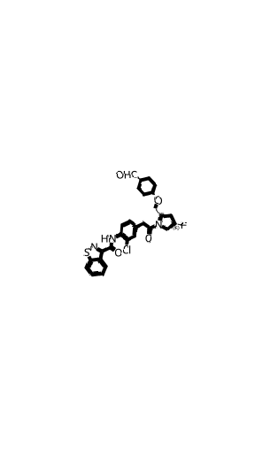 O=C[C@H]1CC[C@H](OC[C@@H]2C[C@H](F)CN2C(=O)Cc2ccc(NC(=O)c3nsc4ccccc34)c(Cl)c2)CC1